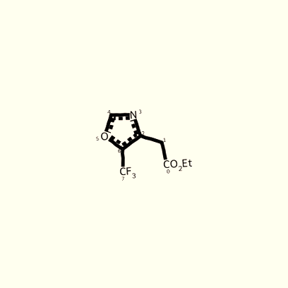 CCOC(=O)Cc1ncoc1C(F)(F)F